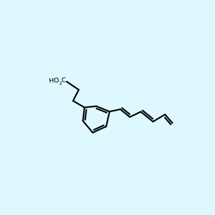 C=CC=CC=Cc1cccc(CCC(=O)O)c1